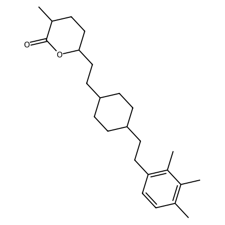 Cc1ccc(CCC2CCC(CCC3CCC(C)C(=O)O3)CC2)c(C)c1C